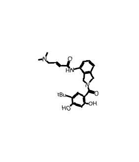 CN(C)C/C=C/C(=O)Nc1cccc2c1CN(C(=O)c1cc(C(C)(C)C)c(O)cc1O)C2